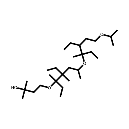 CCC(CCOC(C)C)C(C)(CC)OC(C)CC(C)(CC)C(C)(CC)OCCC(C)(C)O